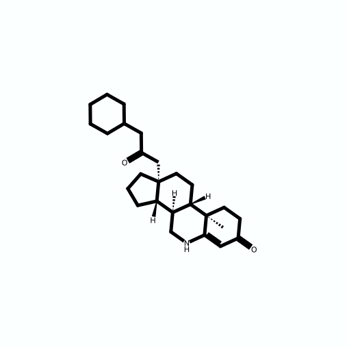 C[C@]12CCC(=O)C=C1NC[C@H]1[C@@H]3CCC[C@@]3(CC(=O)CC3CCCCC3)CC[C@@H]12